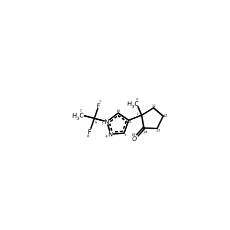 CC1(c2cnn(C(C)(F)F)c2)CCCC1=O